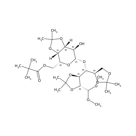 COC(OC)[C@@H]1OC(C)(C)O[C@H]1[C@H](O[C@@H]1O[C@H](COC(=O)C(C)(C)C)[C@@H]2OC(C)(C)O[C@@H]2[C@H]1O)[C@H]1COC(C)(C)O1